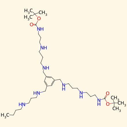 CCCCNCCCNCc1cc(CNCCCNCCCNC(=O)OC(C)(C)C)cc(CNCCCNCCCNC(=O)OC(C)(C)C)c1